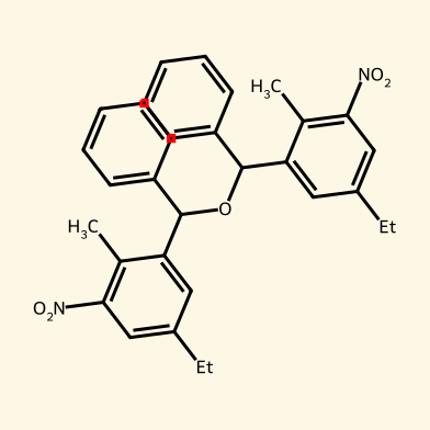 CCc1cc(C(OC(c2ccccc2)c2cc(CC)cc([N+](=O)[O-])c2C)c2ccccc2)c(C)c([N+](=O)[O-])c1